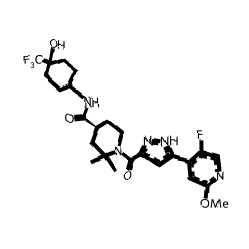 COc1cc(-c2cc(C(=O)N3CC[C@H](C(=O)NC4CCC(O)(C(F)(F)F)CC4)CC3(C)C)n[nH]2)c(F)cn1